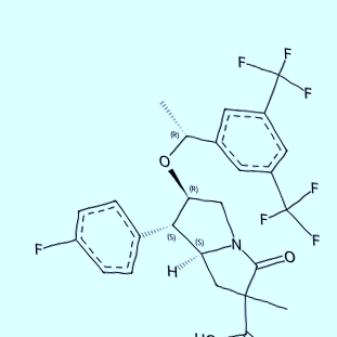 C[C@@H](O[C@H]1CN2C(=O)C(C)(C(=O)O)C[C@H]2[C@@H]1c1ccc(F)cc1)c1cc(C(F)(F)F)cc(C(F)(F)F)c1